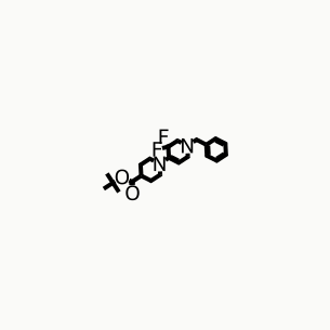 CC(C)(C)OC(=O)C1CCN(C2=CCN(Cc3ccccc3)CC2(F)F)CC1